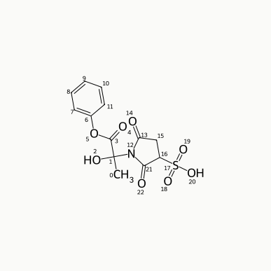 CC(O)(C(=O)Oc1ccccc1)N1C(=O)CC(S(=O)(=O)O)C1=O